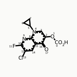 O=C(O)Oc1cn(C2CC2)c2nc(F)c(Cl)cc2c1=O